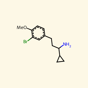 COc1ccc(CCC(N)C2CC2)cc1Br